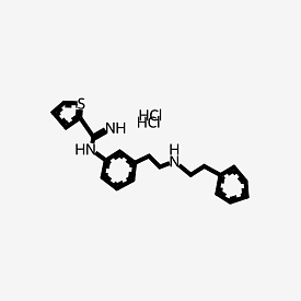 Cl.Cl.N=C(Nc1cccc(CCNCCc2ccccc2)c1)c1cccs1